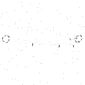 O=C(CCCOCCNC(=O)CCN1C(=O)c2c(c3ccc2o3)C1=O)NCCCCOc1ccccc1